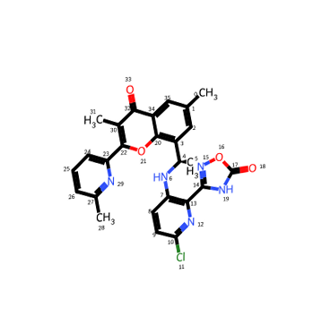 Cc1cc([C@@H](C)Nc2ccc(Cl)nc2-c2noc(=O)[nH]2)c2oc(-c3cccc(C)n3)c(C)c(=O)c2c1